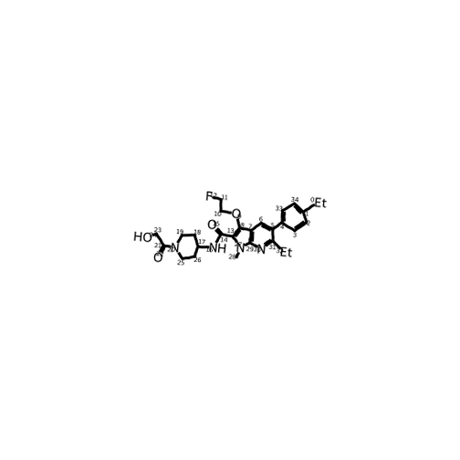 CCc1ccc(-c2cc3c(OCCF)c(C(=O)NC4CCN(C(=O)CO)CC4)n(C)c3nc2CC)cc1